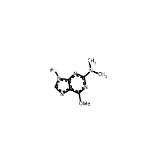 COc1nc(N(C)C)nc2c1ncn2C(C)C